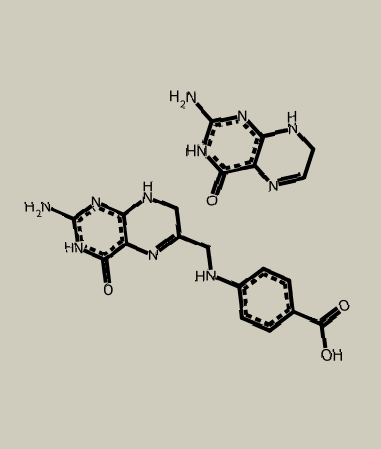 Nc1nc2c(c(=O)[nH]1)N=C(CNc1ccc(C(=O)O)cc1)CN2.Nc1nc2c(c(=O)[nH]1)N=CCN2